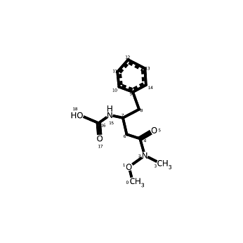 CON(C)C(=O)CC(Cc1ccccc1)NC(=O)O